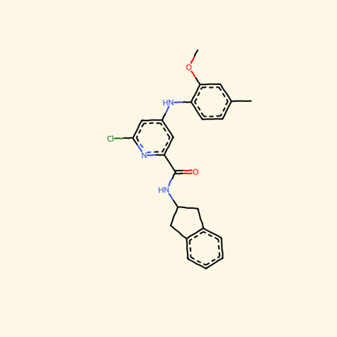 COc1cc(C)ccc1Nc1cc(Cl)nc(C(=O)NC2Cc3ccccc3C2)c1